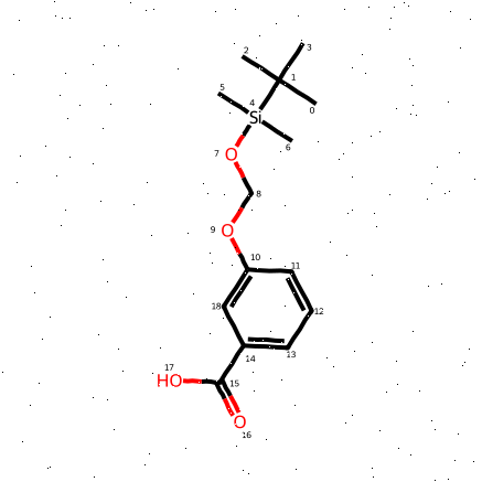 CC(C)(C)[Si](C)(C)OCOc1cccc(C(=O)O)c1